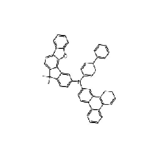 CC1(C)c2ccc(N(C3=CCC(c4ccccc4)C=C3)c3ccc4c(c3)c3c(c5ccccc54)C=CCC3)cc2-c2c1ccc1c2oc2ccccc21